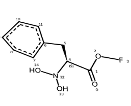 O=C(OF)[C@H](Cc1ccccc1)N(O)O